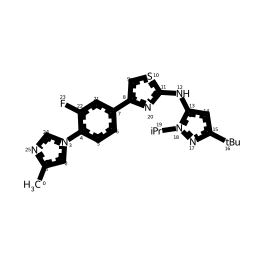 Cc1cn(-c2ccc(-c3csc(Nc4cc(C(C)(C)C)nn4C(C)C)n3)cc2F)cn1